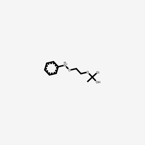 CCC(C)(O)OCCO[SiH2]c1ccccc1